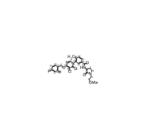 COCCN1CC[C@H](NC(=O)c2ccc(C)c(-n3cnc(OCc4ccc(F)cc4F)c(Cl)c3=O)c2)C1=O